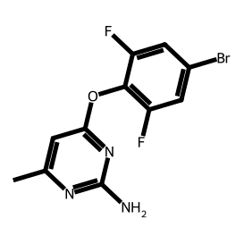 Cc1cc(Oc2c(F)cc(Br)cc2F)nc(N)n1